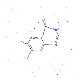 O=c1[nH]cnc2cc(I)c(I)cc12